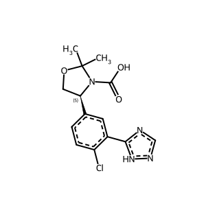 CC1(C)OC[C@H](c2ccc(Cl)c(-c3ncn[nH]3)c2)N1C(=O)O